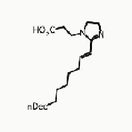 CCCCCCCCCCCCCCCC=CC1=NCCN1CCC(=O)O